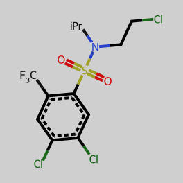 CC(C)N(CCCl)S(=O)(=O)c1cc(Cl)c(Cl)cc1C(F)(F)F